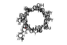 CC[C@H](C)[C@@H]1NC(=O)[C@@H]2CCCN2C(=O)[C@H](Cc2cccc(-c3cccc(F)c3)c2)N(C)C(=O)[C@H](Cc2ccccc2)NC(=O)[C@H](C(C)C)N(C)C(=O)[C@@H]([C@@H](C)CC)OC(=O)[C@H](C(C)(C)O)N(C)C(=O)[C@H](CC(C)C)NC(=O)[C@H](C(C)C)N(C)C1=O